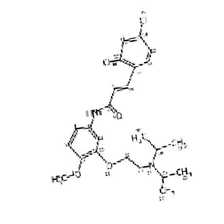 COc1ccc(NC(=O)C=Cc2ccc(Cl)cc2Cl)cc1OCCN(C(C)C)C(C)C